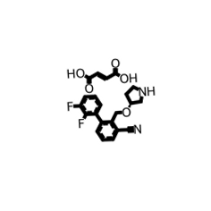 N#Cc1cccc(-c2cccc(F)c2F)c1CO[C@H]1CCNC1.O=C(O)/C=C/C(=O)O